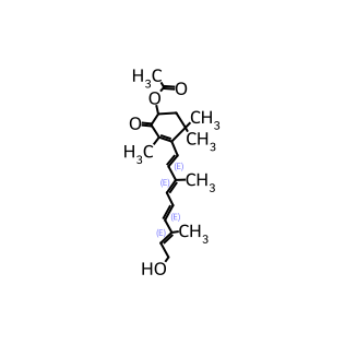 CC(=O)OC1CC(C)(C)C(/C=C/C(C)=C/C=C/C(C)=C/CO)=C(C)C1=O